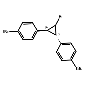 CC(C)(C)c1ccc([C@H]2C(Br)[C@@H]2c2ccc(C(C)(C)C)cc2)cc1